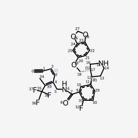 C#C/C=C\C(CNC(=O)c1cc([C@@H]2CCNC[C@H]2COc2ccc3c(c2)OCO3)ccc1F)=C(/C)C(F)(F)F